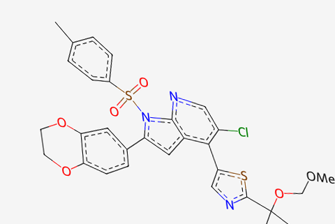 COCOC1(c2ncc(-c3c(Cl)cnc4c3cc(-c3ccc5c(c3)OCCO5)n4S(=O)(=O)c3ccc(C)cc3)s2)CCC1